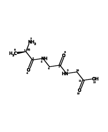 C[C@@H](N)C(=O)NCC(=O)NCC(=O)O